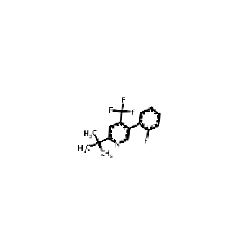 CC(C)(C)c1cc(C(F)(F)F)c(-c2ccccc2F)cn1